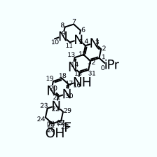 CC(C)c1cnc(N2CCCN(C)C2)c2cnc(Nc3ccnc(N4CC[C@@H](O)[C@@H](F)C4)n3)cc12